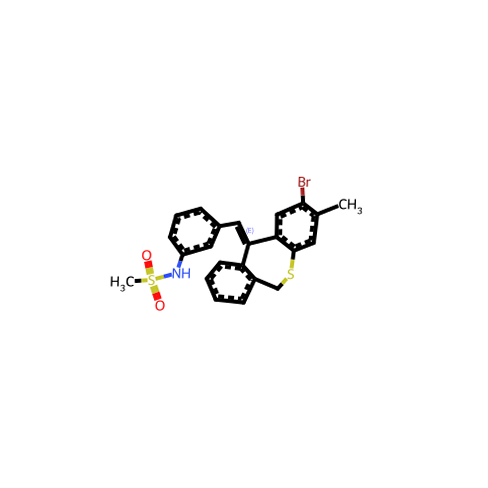 Cc1cc2c(cc1Br)/C(=C/c1cccc(NS(C)(=O)=O)c1)c1ccccc1CS2